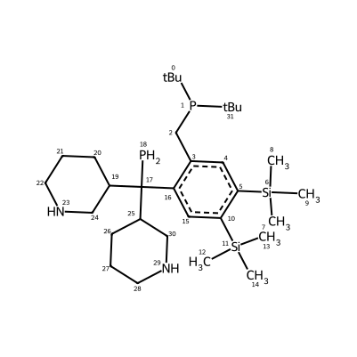 CC(C)(C)P(Cc1cc([Si](C)(C)C)c([Si](C)(C)C)cc1C(P)(C1CCCNC1)C1CCCNC1)C(C)(C)C